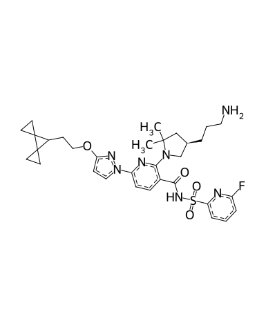 CC1(C)C[C@@H](CCCN)CN1c1nc(-n2ccc(OCCC3C4(CC4)C34CC4)n2)ccc1C(=O)NS(=O)(=O)c1cccc(F)n1